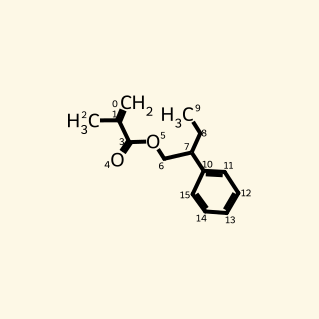 C=C(C)C(=O)OCC(CC)c1ccccc1